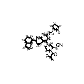 C=C(F)C(=O)N1CCN(c2nc(OC[C@@H]3CCCN3C)nc3nc(-c4cccc5ccsc45)ccc23)C[C@@H]1CC#N